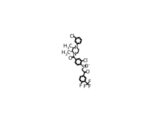 C[C@H]1[C@H](C)N(c2cccc(Cl)c2)CCN1C(=O)c1ccc([S+]([O-])CC(=O)c2ccc(F)c(C(F)(F)F)c2)c(Cl)c1